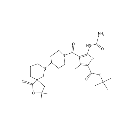 Cc1c(C(=O)OC(C)(C)C)sc(NC(N)=O)c1C(=O)N1CCC(N2CCCC3(C2)CC(C)(C)OC3=O)CC1